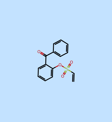 C=CS(=O)(=O)Oc1ccccc1C(=O)c1ccccc1